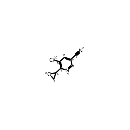 N#Cc1cnc(C2CO2)c(Cl)c1